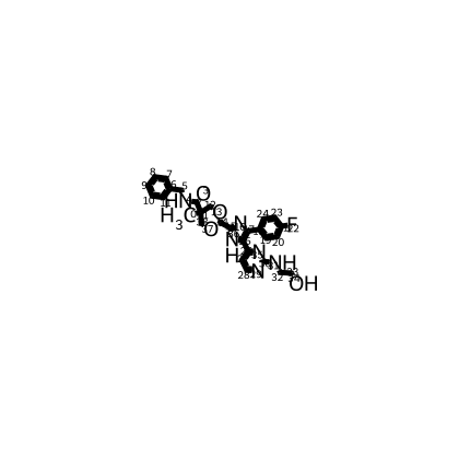 CC1(C(=O)NCc2ccccc2)COC(c2nc(-c3ccc(F)cc3)c(-c3ccnc(NCCO)n3)[nH]2)OC1